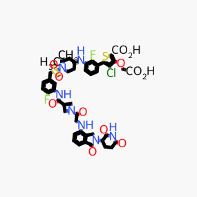 CC1(C)C[C@@H](Nc2cccc(-c3sc(C(=O)O)c(OCC(=O)O)c3Cl)c2F)CCN1S(=O)(=O)Cc1ccc(F)c(NC(=O)C2CN(C(=O)CNc3cccc4c3CN(C3CCC(=O)NC3=O)C4=O)C2)c1